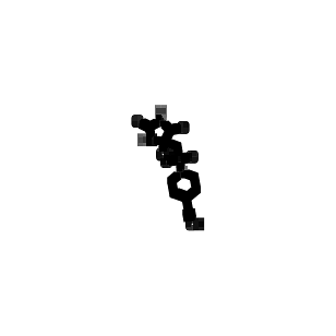 C#CC1=CCN(S(=O)(=O)CC2(C)NC(=O)NC2=O)CC1